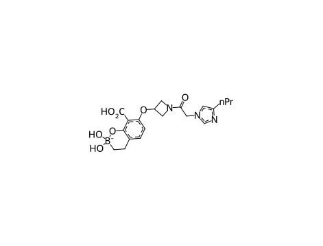 CCCc1cn(CC(=O)N2CC(Oc3ccc4c(c3C(=O)O)O[B-](O)(O)CC4)C2)cn1